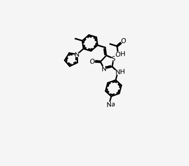 CC(=O)O.Cc1ccc(C=C2SC(Nc3cc[c]([Na])cc3)=NC2=O)cc1-n1cccc1